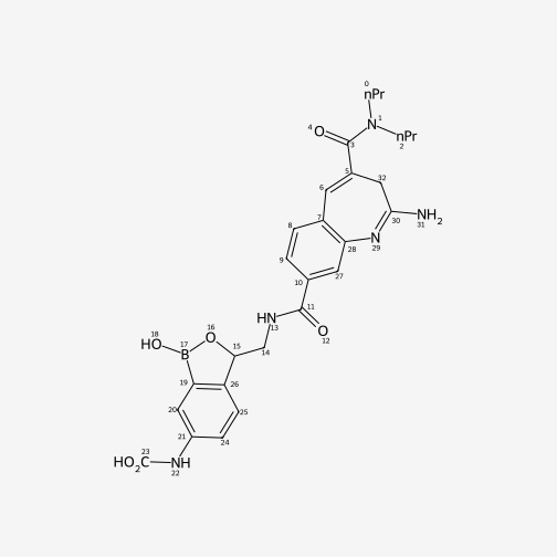 CCCN(CCC)C(=O)C1=Cc2ccc(C(=O)NCC3OB(O)c4cc(NC(=O)O)ccc43)cc2N=C(N)C1